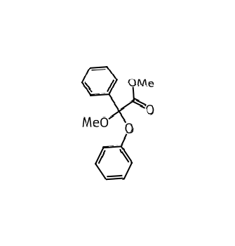 COC(=O)C(OC)(Oc1ccccc1)c1ccccc1